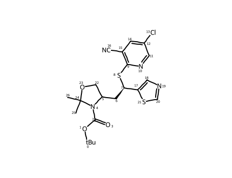 CC(C)(C)OC(=O)N1C(C[C@@H](Sc2ncc(Cl)cc2C#N)c2cncs2)COC1(C)C